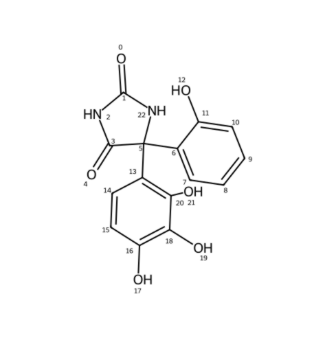 O=C1NC(=O)C(c2ccccc2O)(c2ccc(O)c(O)c2O)N1